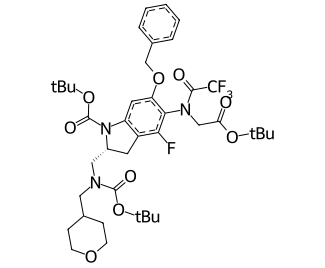 CC(C)(C)OC(=O)CN(C(=O)C(F)(F)F)c1c(OCc2ccccc2)cc2c(c1F)C[C@H](CN(CC1CCOCC1)C(=O)OC(C)(C)C)N2C(=O)OC(C)(C)C